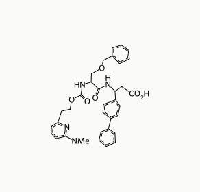 CNc1cccc(CCOC(=O)NC(COCc2ccccc2)C(=O)NC(CC(=O)O)c2ccc(-c3ccccc3)cc2)n1